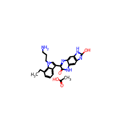 CC(=O)O.CCc1cccc2c(-c3nc4cc5[nH]c(O)nc5cc4[nH]c3=O)cn(CCCN)c12